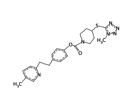 Cc1ccc(CCc2ccc(OC(=O)N3CCC(Sc4nnnn4C)CC3)cc2)nc1